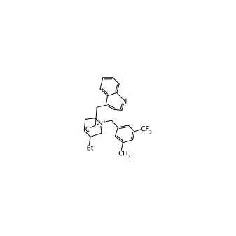 CCC1C[N+]2(Cc3cc(C)cc(C(F)(F)F)c3)CCC1CC2Cc1ccnc2ccccc12